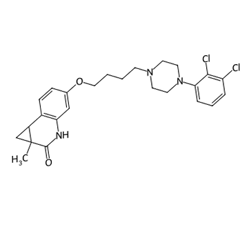 CC12CC1c1ccc(OCCCCN3CCN(c4cccc(Cl)c4Cl)CC3)cc1NC2=O